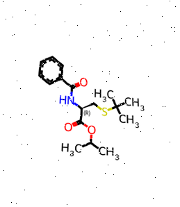 CC(C)OC(=O)[C@H](CSC(C)(C)C)NC(=O)c1ccccc1